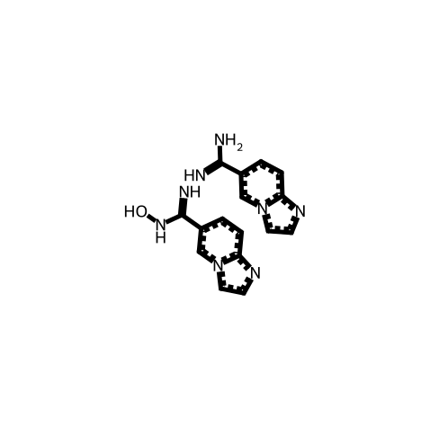 N=C(N)c1ccc2nccn2c1.N=C(NO)c1ccc2nccn2c1